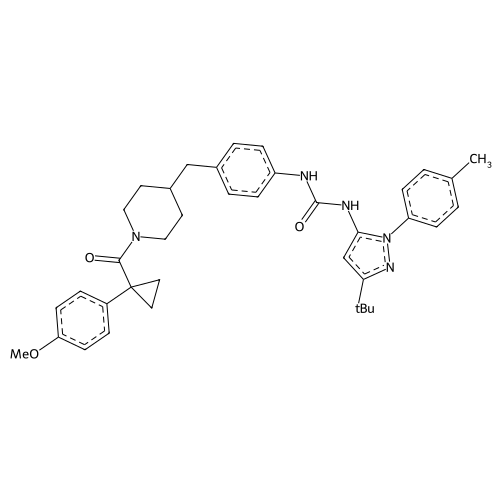 COc1ccc(C2(C(=O)N3CCC(Cc4ccc(NC(=O)Nc5cc(C(C)(C)C)nn5-c5ccc(C)cc5)cc4)CC3)CC2)cc1